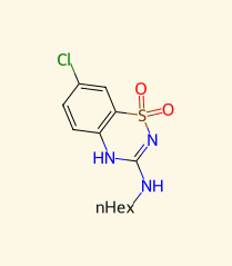 CCCCCCNC1=NS(=O)(=O)c2cc(Cl)ccc2N1